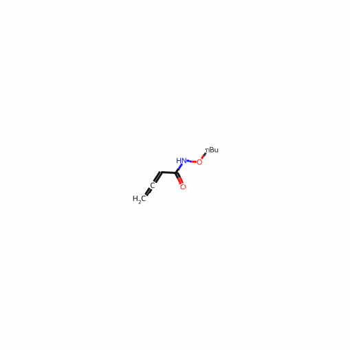 C=C=CC(=O)NOCCCC